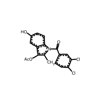 CC(=O)Oc1c(C)n(C(=O)c2ccc(Cl)c(Cl)c2)c2ccc(O)cc12